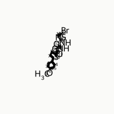 COc1ccc(-c2ccc(S(=O)(=O)NC(=O)Nc3ncc(Br)s3)s2)cc1